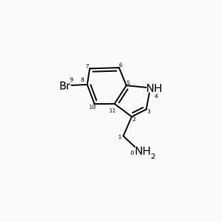 NCc1c[nH]c2ccc(Br)cc12